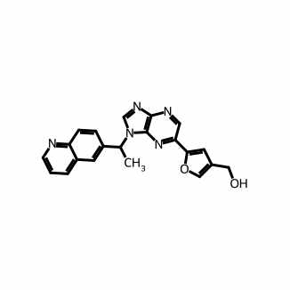 CC(c1ccc2ncccc2c1)n1cnc2ncc(-c3cc(CO)co3)nc21